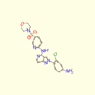 Nc1ccc(-n2cc3c(Nc4ccc(S(=O)(=O)N5CCOCC5)cn4)nccc3n2)c(Cl)c1